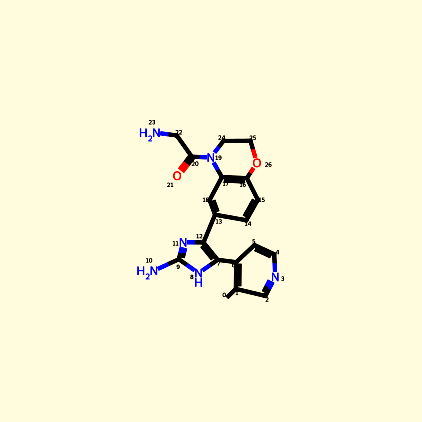 Cc1cnccc1-c1[nH]c(N)nc1-c1ccc2c(c1)N(C(=O)CN)CCO2